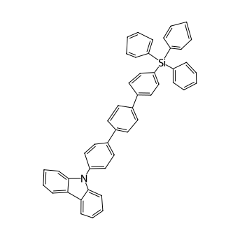 c1ccc([Si](c2ccccc2)(c2ccccc2)c2ccc(-c3ccc(-c4ccc(-n5c6ccccc6c6ccccc65)cc4)cc3)cc2)cc1